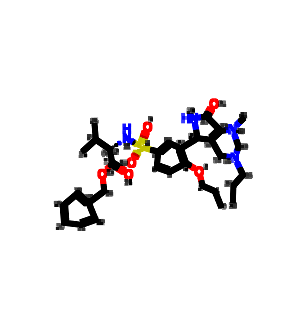 CCCOc1ccc(S(=O)(=O)N[C@H](C(=O)OCc2ccccc2)C(C)C)cc1C1NC(=O)C2=C1CN(CCC)CN2C